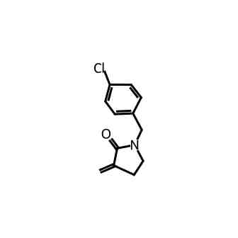 C=C1CCN(Cc2ccc(Cl)cc2)C1=O